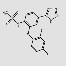 CS(=O)(=O)Nc1ccc(-c2nnn[nH]2)cc1Oc1ccc(F)cc1F